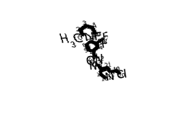 CC1CCCCN1c1ccc(-c2nc(-c3ccnc(CCl)c3)no2)cc1C(F)(F)F